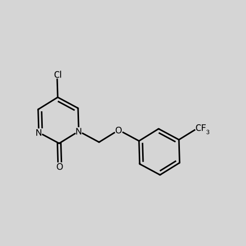 O=c1ncc(Cl)cn1COc1cccc(C(F)(F)F)c1